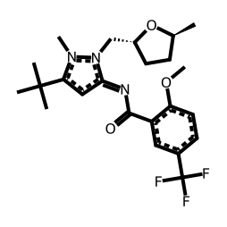 COc1ccc(C(F)(F)F)cc1C(=O)/N=c1\cc(C(C)(C)C)n(C)n1C[C@H]1CC[C@H](C)O1